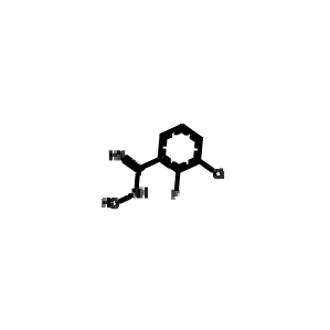 N=C(NO)c1cccc(Cl)c1F